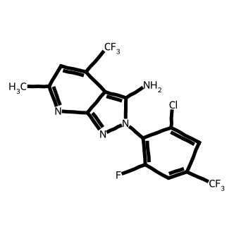 Cc1cc(C(F)(F)F)c2c(N)n(-c3c(F)cc(C(F)(F)F)cc3Cl)nc2n1